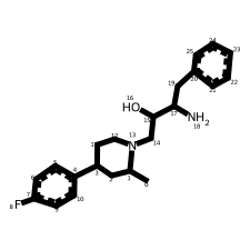 CC1CC(c2ccc(F)cc2)CCN1CC(O)C(N)Cc1ccccc1